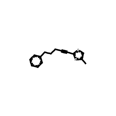 Cc1csc(C#CCCCc2ccccc2)n1